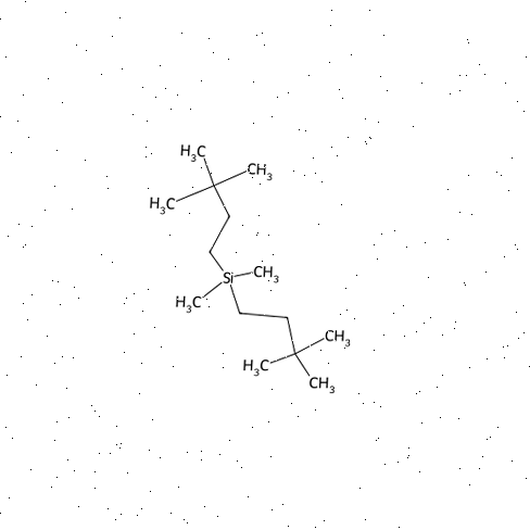 CC(C)(C)CC[Si](C)(C)CCC(C)(C)C